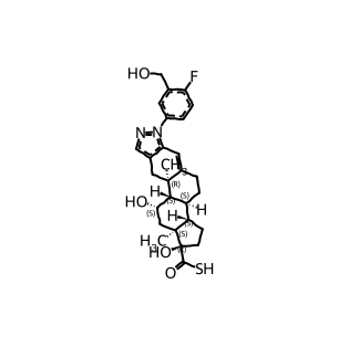 C[C@]12Cc3cnn(-c4ccc(F)c(CO)c4)c3C=C1CC[C@@H]1[C@@H]2[C@@H](O)C[C@@]2(C)[C@H]1CC[C@]2(O)C(=O)S